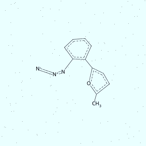 Cc1ccc(-c2ccccc2N=[N+]=[N-])o1